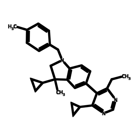 CCc1ncnc(C2CC2)c1-c1ccc2c(c1)C(C)(C1CC1)CN2Cc1ccc(C)cc1